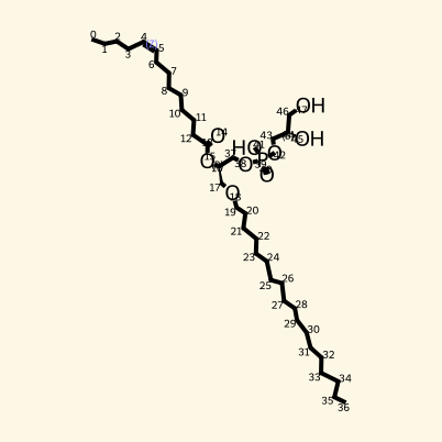 CCCC/C=C\CCCCCCCC(=O)O[C@H](COCCCCCCCCCCCCCCCCCC)COP(=O)(O)OC[C@@H](O)CO